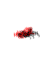 CC(C)=CCC[C@](C)(O[C@@H]1O[C@H](CO)[C@@H](O)[C@H](O)[C@H]1O)[C@H]1CC[C@]2(C)[C@@H]1CC[C@@H]1[C@@]3(C)CC[C@H](O[C@@H]4O[C@H](CO)[C@@H](O)[C@H](O)[C@H]4O[C@@H]4O[C@H](CO)[C@@H](O)[C@H](O)[C@H]4O)C(C)(C)[C@@H]3CC[C@]12C